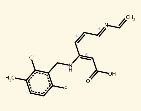 C=C/N=C/C=C\C(=C\C(=O)O)NCc1c(F)ccc(C)c1Cl